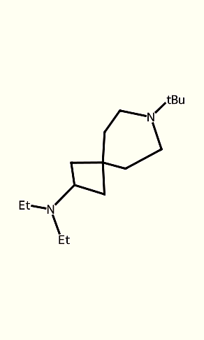 CCN(CC)C1CC2(CCN(C(C)(C)C)CC2)C1